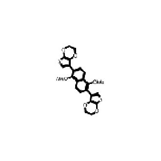 COc1c(-c2csc3c2OCCO3)ccc2c(OC)c(-c3csc4c3OCCO4)ccc12